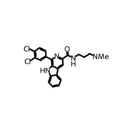 CNCCCNC(=O)c1cc2c([nH]c3ccccc32)c(-c2ccc(Cl)c(Cl)c2)n1